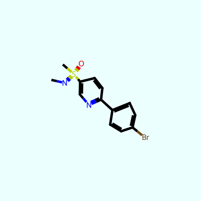 CN=S(C)(=O)c1ccc(-c2ccc(Br)cc2)nc1